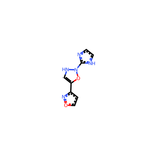 [C]1=C(c2ccon2)ON(c2ncc[nH]2)N1